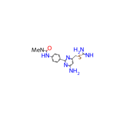 CNC(=O)Nc1ccc(-c2nc(N)cc(CSC(=N)N)n2)cc1